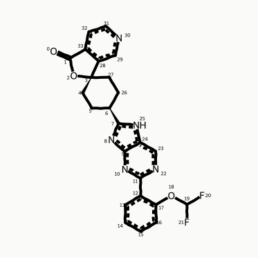 O=C1O[C@]2(CC[C@H](c3nc4nc(-c5ccccc5OC(F)F)ncc4[nH]3)CC2)c2cnccc21